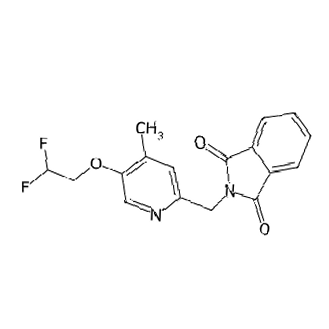 Cc1cc(CN2C(=O)c3ccccc3C2=O)ncc1OCC(F)F